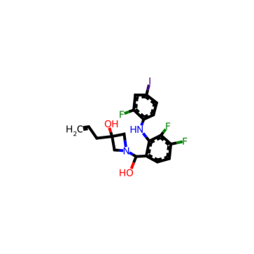 C=CCC1(O)CN(C(O)c2ccc(F)c(F)c2Nc2ccc(I)cc2F)C1